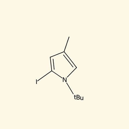 Cc1cc(I)n(C(C)(C)C)c1